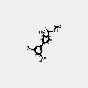 COc1cc(OC)cc(-c2ccc3c(NC=O)n[nH]c3c2)c1